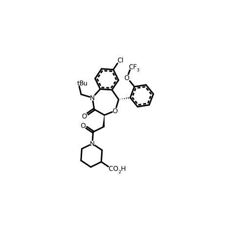 CC(C)(C)CN1C(=O)[C@H](CC(=O)N2CCCC(C(=O)O)C2)O[C@@H](c2ccccc2OC(F)(F)F)c2cc(Cl)ccc21